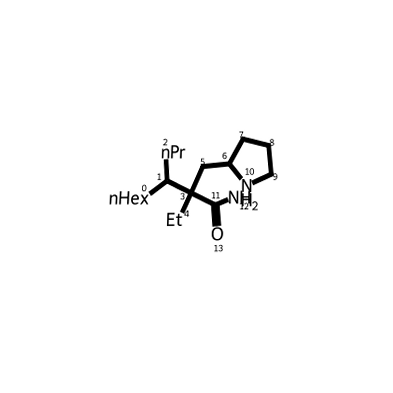 CCCCCCC(CCC)C(CC)(CC1CCCN1)C(N)=O